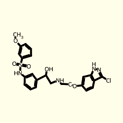 COc1cccc(S(=O)(=O)Nc2cccc(C(O)CNCCOc3ccc4c(Cl)n[nH]c4c3)c2)c1